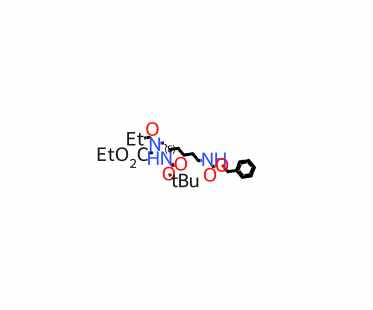 CCOC(=O)CN(C[C@H](CCCCNC(=O)OCc1ccccc1)NC(=O)OC(C)(C)C)C(=O)CC